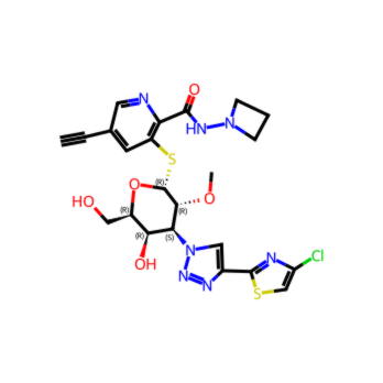 C#Cc1cnc(C(=O)NN2CCC2)c(S[C@H]2O[C@H](CO)[C@H](O)[C@H](n3cc(-c4nc(Cl)cs4)nn3)[C@H]2OC)c1